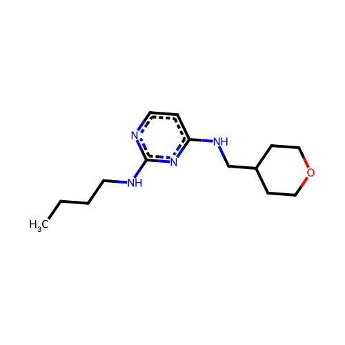 CCCCNc1nccc(NCC2CCOCC2)n1